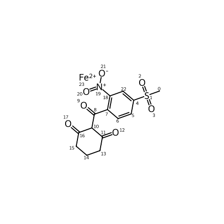 CS(=O)(=O)c1ccc(C(=O)C2C(=O)CCCC2=O)c([N+](=O)[O-])c1.[Fe+2]